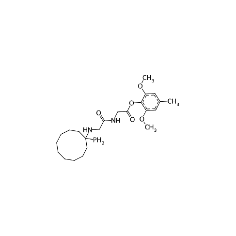 COc1cc(C)cc(OC)c1OC(=O)CNC(=O)CNC1(P)CCCCCCCCC1